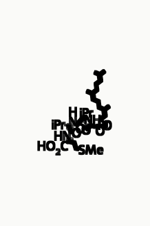 CSCC[C@H](NC(=O)[C@@H](NC(=O)[C@@H](NC(=O)C1OP1(=O)CC=C(C)CCC=C(C)CCC=C(C)C)C(C)C)C(C)C)C(=O)O